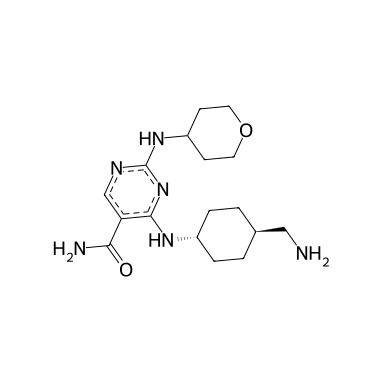 NC[C@H]1CC[C@H](Nc2nc(NC3CCOCC3)ncc2C(N)=O)CC1